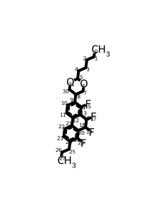 CCCCCC1OCC(c2ccc3c(c2F)C(F)C(F)c2c-3ccc(CCC)c2F)CO1